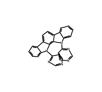 c1ccc2c(c1)c1ccc3c4ccccc4n(-c4ccncn4)c3c1n2-c1ccncn1